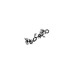 CCOC(=O)c1ccn(-c2ccc(-c3cc4nc(C(=O)N5CCCCCC5C)cc(CC)n4n3)c(F)c2)n1